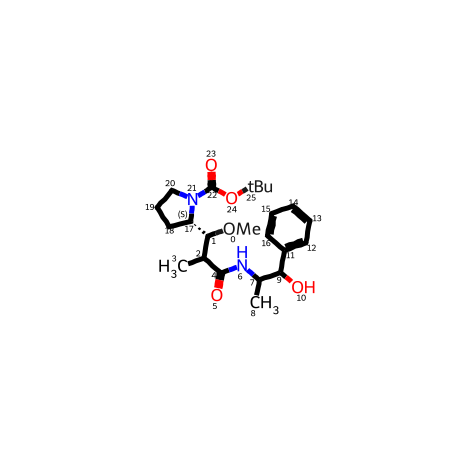 COC(C(C)C(=O)NC(C)C(O)c1ccccc1)[C@@H]1CCCN1C(=O)OC(C)(C)C